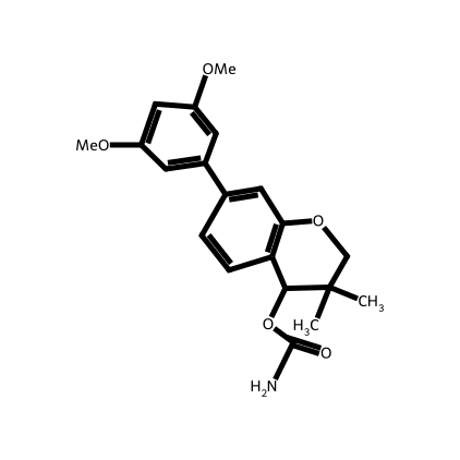 COc1cc(OC)cc(-c2ccc3c(c2)OCC(C)(C)C3OC(N)=O)c1